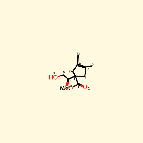 COC(=O)C1(C(=O)CO)CC(C)=C(C)C1